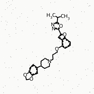 CC(C)c1nnc(-c2cc3c(OCCCN4CCC(c5ccc6c(c5)OCO6)CC4)cccc3o2)o1